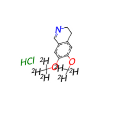 Cl.[2H]C([2H])([2H])Oc1cc2c(cc1OC([2H])([2H])[2H])CCN=C2